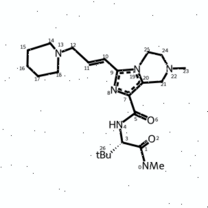 CNC(=O)[C@@H](NC(=O)c1nc(/C=C/CN2CCCCC2)n2c1CN(C)CC2)C(C)(C)C